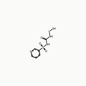 O=C(NSS)NS(=O)(=O)c1cccnc1